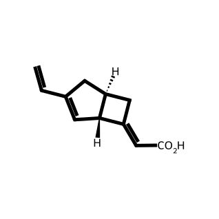 C=CC1=C[C@H]2C(=CC(=O)O)C[C@@H]2C1